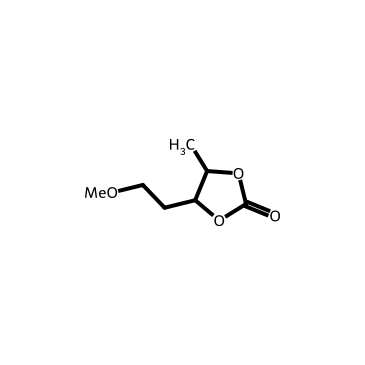 COCCC1OC(=O)OC1C